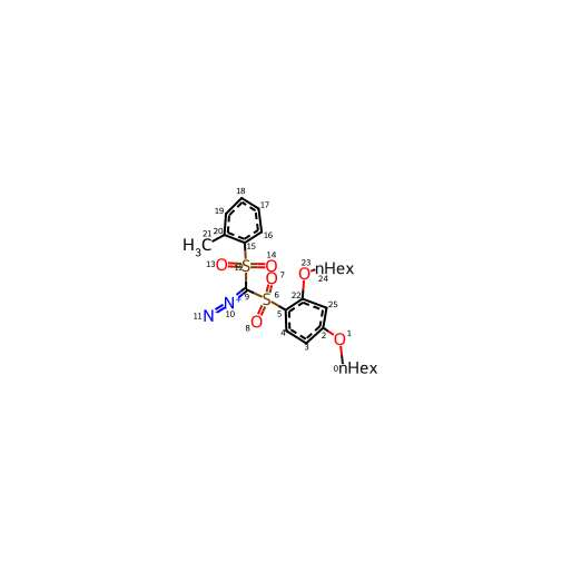 CCCCCCOc1ccc(S(=O)(=O)C(=[N+]=[N-])S(=O)(=O)c2ccccc2C)c(OCCCCCC)c1